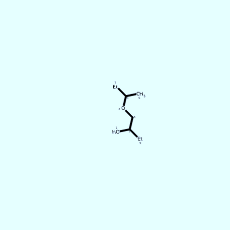 CCC(O)COC(C)CC